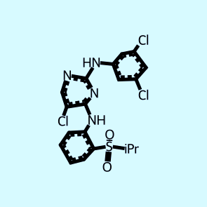 CC(C)S(=O)(=O)c1ccccc1Nc1nc(Nc2cc(Cl)cc(Cl)c2)ncc1Cl